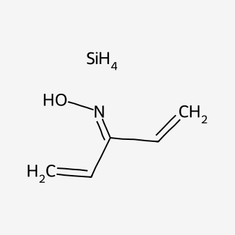 C=CC(C=C)=NO.[SiH4]